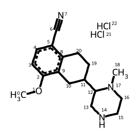 COc1ccc(C#N)c2c1CC(C1CNCCN1C)CC2.Cl.Cl